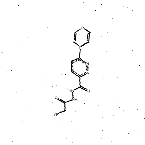 O=C(CCl)NNC(=O)c1ccc(N2C=COC=C2)nn1